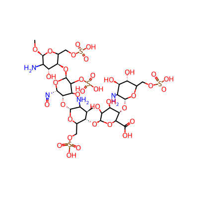 CO[C@H]1OC(COS(=O)(=O)O)[C@@H](O[C@@H]2O[C@@H](N=O)[C@@H](O[C@H]3OC(COS(=O)(=O)O)[C@@H](O[C@@H]4OC(C(=O)O)[C@@H](O[C@H]5OC(COS(=O)(=O)O)[C@@H](O)[C@H](O)C5N)[C@H](O)C4O)[C@H](C)C3N)C(O)C2OS(=O)(=O)O)[C@H](O)C1N